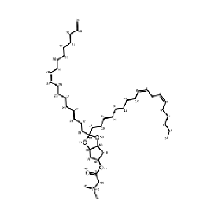 CCCCC/C=C\C/C=C\CCCCCCCCC1(CCCCCCCC/C=C\CCCCCCCC)OC2CC(OC(=O)CN(C)C)CC2O1